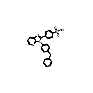 NS(=O)(=O)c1ccc(-c2nc3cccnc3n2-c2ccc(Cc3ccccc3)cc2)cc1